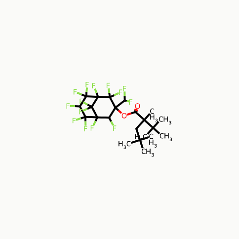 CC(C)(C)CC(C)(C(=O)OC1(C(F)F)C(F)C2(F)C(F)(F)C(F)C(F)(F)C(F)(C1(F)F)C2(F)F)C(C)(C)C